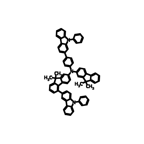 CC1(C)c2ccccc2-c2ccc(N(c3ccc(-c4ccc5c6ccccc6n(-c6ccccc6)c5c4)cc3)c3ccc4c(c3)C(C)(C)c3cccc(-c5ccc6c(c5)c5ccccc5n6-c5ccccc5)c3-4)cc21